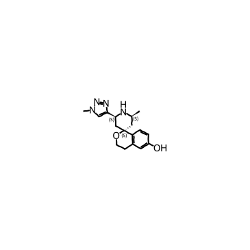 C[C@H]1C[C@@]2(C[C@@H](c3cn(C)nn3)N1)OCCc1cc(O)ccc12